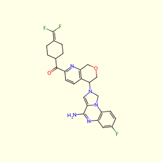 NC1=Nc2cc(F)ccc2N2CN(C3COCc4nc(C(=O)C5CCC(=C(F)F)CC5)ccc43)C=C12